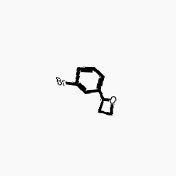 Brc1cccc([C]2CCO2)c1